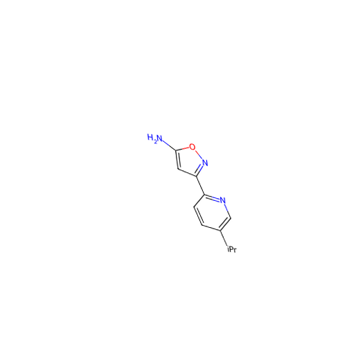 CC(C)c1ccc(-c2cc(N)on2)nc1